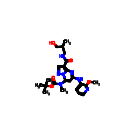 COc1ncccc1Nc1cc(N(C)C(=O)OC(C)(C)C)n2ncc(C(=O)NCC(C)CO)c2n1